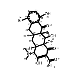 CN(C)[C@@H]1C(O)=C(C(N)=O)C(=O)[C@@]2(O)C(O)C3(Br)C(=O)c4c(O)ccc(Br)c4C[C@H]3C[C@@H]12